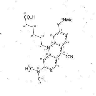 CNCc1ccc2c(C#N)c3ccc(N(C)C)cc3[n+](CCCCCC(=O)O)c2c1